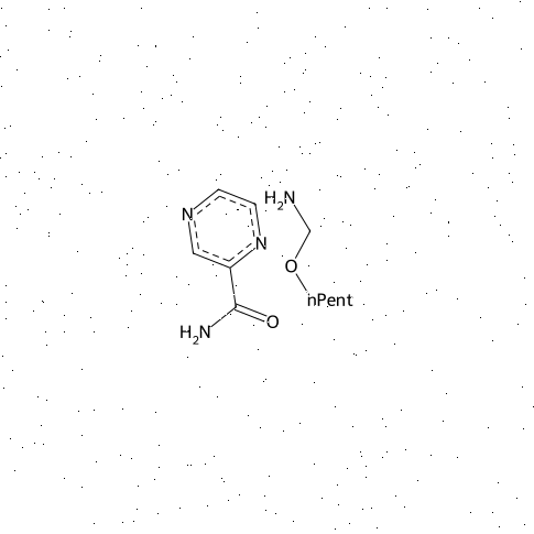 CCCCCOCN.NC(=O)c1cnccn1